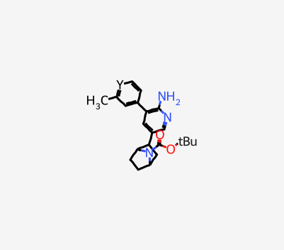 C[C]1=[Y][CH]=CC(c2cc(C3CC4CCC3N4C(=O)OC(C)(C)C)cnc2N)=C1